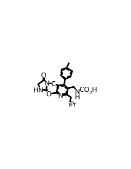 Cc1ccc(-c2c(CN3C(=O)CNC3=O)c(C)nc(CC(C)C)c2CNC(=O)O)cc1